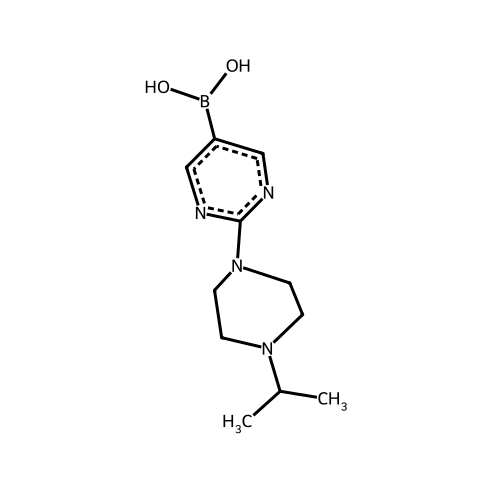 CC(C)N1CCN(c2ncc(B(O)O)cn2)CC1